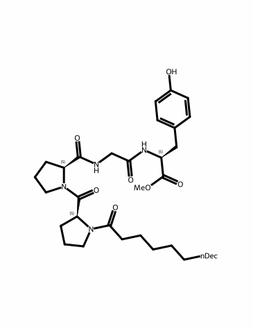 CCCCCCCCCCCCCCCC(=O)N1CCC[C@H]1C(=O)N1CCC[C@H]1C(=O)NCC(=O)N[C@@H](Cc1ccc(O)cc1)C(=O)OC